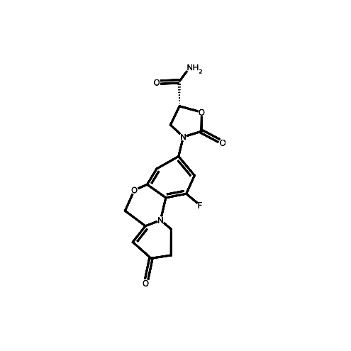 NC(=O)[C@H]1CN(c2cc(F)c3c(c2)OCC2=CC(=O)CCN23)C(=O)O1